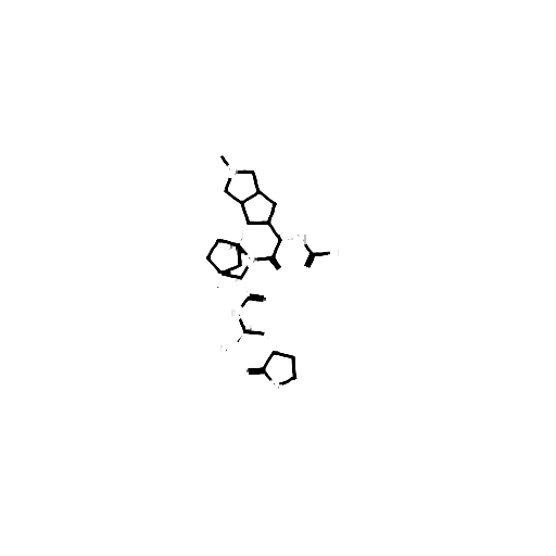 CN1CC2CC([C@H](NC(=O)C(F)(F)F)C(=O)N3[C@@H]4CC[C@@H](C4)[C@H]3C(=O)N[C@H](C#N)C[C@@H]3CCNC3=O)CC2C1